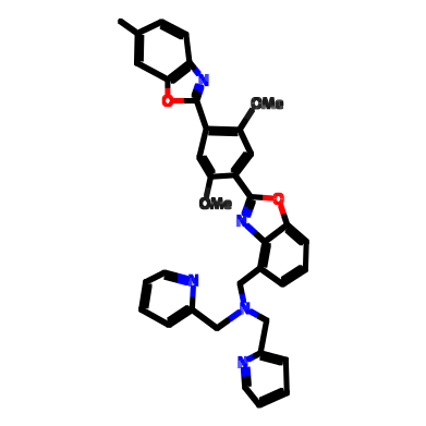 COc1cc(-c2nc3c(CN(Cc4ccccn4)Cc4ccccn4)cccc3o2)c(OC)cc1-c1nc2ccc(C)cc2o1